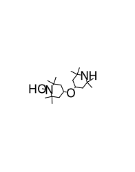 CC1(C)CC(OC2CC(C)(C)N(O)C(C)(C)C2)CC(C)(C)N1